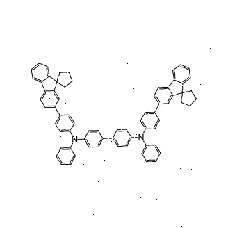 c1ccc(N(c2ccc(-c3ccc(N(c4ccccc4)c4ccc(-c5ccc6c(c5)C5(CCCC5)c5ccccc5-6)cc4)cc3)cc2)c2ccc(-c3ccc4c(c3)C3(CCCC3)c3ccccc3-4)cc2)cc1